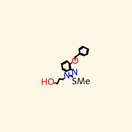 CSc1nc2c(OCc3ccccc3)cccc2n1CCCO